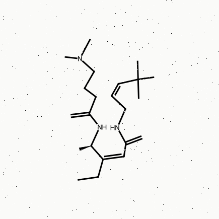 C=C(/C=C(/CC)[C@@H](C)NC(=C)CCCN(C)C)NC/C=C\C(C)(C)C